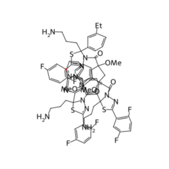 CCc1cccc(C2(CCCN)SC(c3cc(F)ccc3F)=NN2C(=O)C(CCC(OC)(C(=O)N2N=C(c3cc(F)ccc3F)SC2(CCCN)c2ccccn2)c2ccccn2)(C[C@@](OC)(C(=O)N2N=C(c3cc(F)ccc3F)SC2(CCCN)c2cccnc2)c2cccnc2)OC)c1